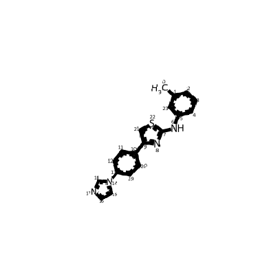 Cc1cccc(Nc2nc(-c3ccc(-n4ccnc4)cc3)cs2)c1